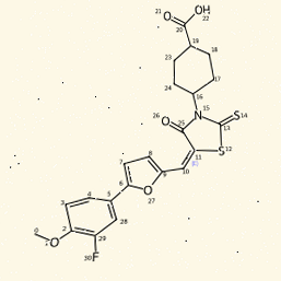 COc1ccc(-c2ccc(/C=C3/SC(=S)N(C4CCC(C(=O)O)CC4)C3=O)o2)cc1F